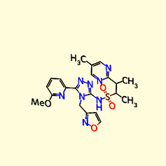 COc1cccc(-c2nnc(NS(=O)(=O)C(C)C(C)c3ncc(C)cn3)n2Cc2ccon2)n1